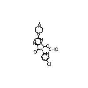 CN1CCN(c2cnc3c(n2)C(OC=O)N(c2ccc(Cl)cn2)C3=O)CC1